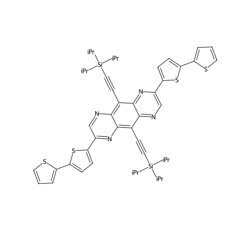 CC(C)[Si](C#Cc1c2ncc(-c3ccc(-c4cccs4)s3)nc2c(C#C[Si](C(C)C)(C(C)C)C(C)C)c2ncc(-c3ccc(-c4cccs4)s3)nc12)(C(C)C)C(C)C